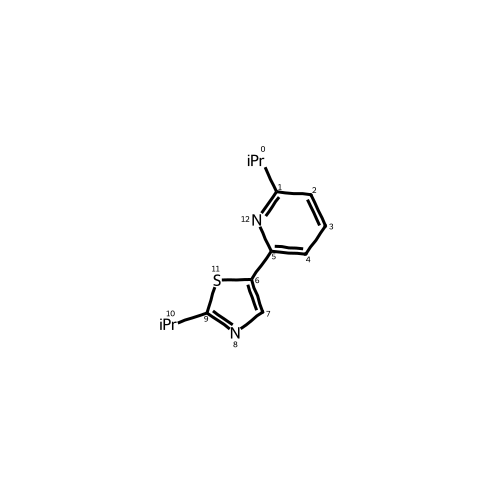 CC(C)c1cccc(-c2cnc(C(C)C)s2)n1